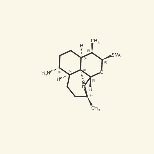 CS[C@H]1O[C@@H]2O[C@@]3(C)CC[C@H]4[C@H](N)CC[C@@H]([C@H]1C)[C@@]24OO3